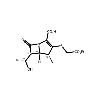 CCOC(=O)CSC1=C(C(=O)O)N2C(=O)[C@H]([C@@H](C)O)[C@H]2[C@H]1C